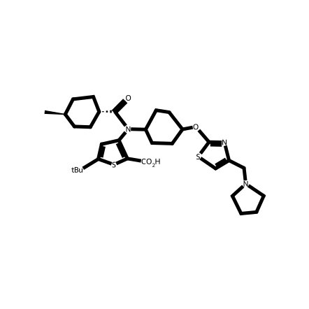 CC(C)(C)c1cc(N(C(=O)[C@H]2CC[C@H](C)CC2)C2CCC(Oc3nc(CN4CCCC4)cs3)CC2)c(C(=O)O)s1